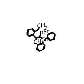 C=Cc1ccccc1C(C)[CH](CCC)[Sn]([c]1ccccc1)[c]1ccccc1